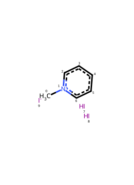 C[n+]1ccccc1.I.I.[I-]